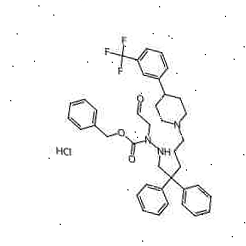 Cl.O=CCN(NCC(CCCN1CCC(c2cccc(C(F)(F)F)c2)CC1)(c1ccccc1)c1ccccc1)C(=O)OCc1ccccc1